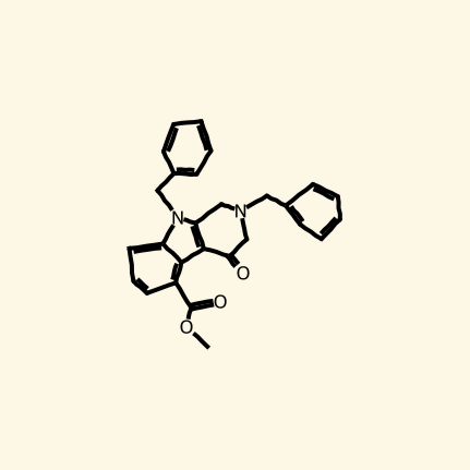 COC(=O)c1cccc2c1c1c(n2Cc2ccccc2)CN(Cc2ccccc2)CC1=O